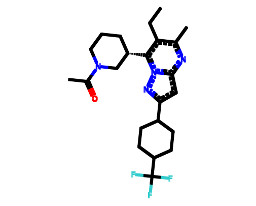 CCc1c(C)nc2cc(C3CCC(C(F)(F)F)CC3)nn2c1[C@H]1CCCN(C(C)=O)C1